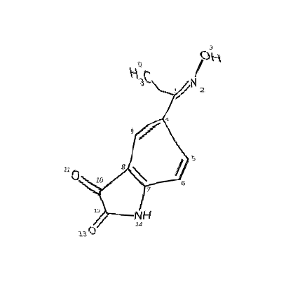 C/C(=N\O)c1ccc2c(c1)C(=O)C(=O)N2